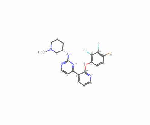 O=C(O)N1CCC[C@H](Nc2nccc(-c3cccnc3Oc3ccc(Br)c(F)c3F)n2)C1